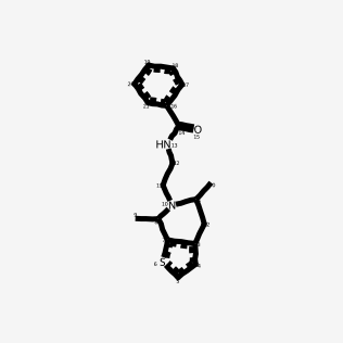 CC1Cc2ccsc2C(C)N1CCNC(=O)c1ccccc1